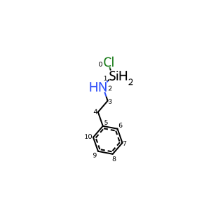 Cl[SiH2]NCCc1ccccc1